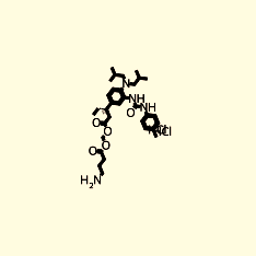 CC[C@@H](CC(=O)OCOC(=O)CCCN)c1ccc(N(CC(C)C)CC(C)C)c(NC(=O)Nc2ccc(C)cc2)c1.Cl.Cl